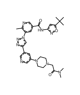 Cc1ncc(C(=O)Nc2cc(C(C)(C)C)on2)cc1-n1cc(-c2cncc(N3CCN(CC(=O)N(C)C)CC3)c2)nn1